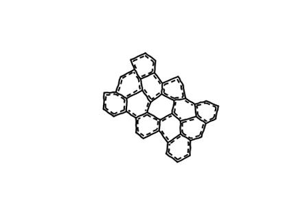 c1cc2cc3cccc4c5ccc6c7cccc8cc9cccc%10c%11ccc%12c(c1)c2c(c34)c1c%12c%11c(c6c51)c(c9%10)c87